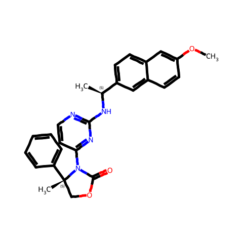 COc1ccc2cc([C@H](C)Nc3nccc(N4C(=O)OC[C@]4(C)c4ccccc4)n3)ccc2c1